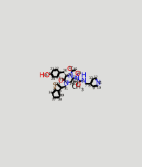 C[C@H]1[C@@H]2N(C(=O)NCc3ccncc3)OCC(=O)N2[C@@H](Cc2ccc(O)cc2)C(=O)N1Cc1csc2ccccc12